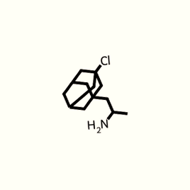 CC(N)CC12CC3CC(CC(Cl)(C3)C1)C2